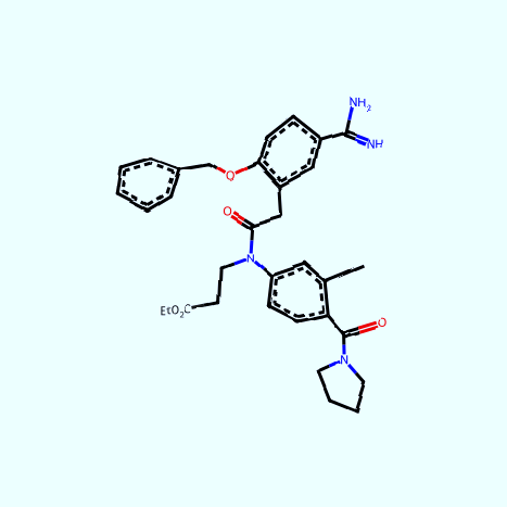 CCOC(=O)CCN(C(=O)Cc1cc(C(=N)N)ccc1OCc1ccccc1)c1ccc(C(=O)N2CCCC2)c(C)c1